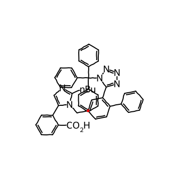 CCCCc1ncc(-c2ccccc2C(=O)O)n1Cc1ccc(-c2ccccc2)c(-c2nnnn2C(c2ccccc2)(c2ccccc2)c2ccccc2)c1